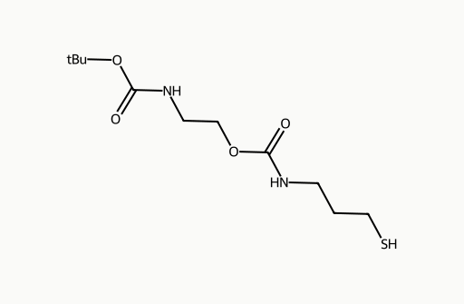 CC(C)(C)OC(=O)NCCOC(=O)NCCCS